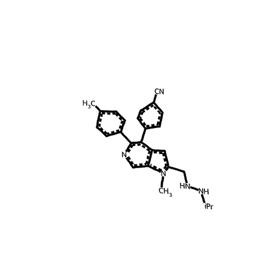 Cc1ccc(-c2ncc3c(cc(CNNC(C)C)n3C)c2-c2ccc(C#N)cc2)cc1